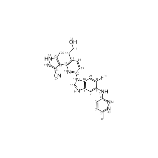 Cc1ccc(Nc2cc3ncn(-c4ccc(CCO)c(-c5c(C#N)n[nH]c5C)n4)c3cc2F)nn1